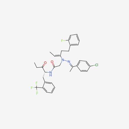 C/C=C(\CCc1ccccc1F)N(CC(=O)N[C@H](Cc1ccccc1C(F)(F)F)C(=O)CC)/N=C(\C)c1ccc(Cl)cc1